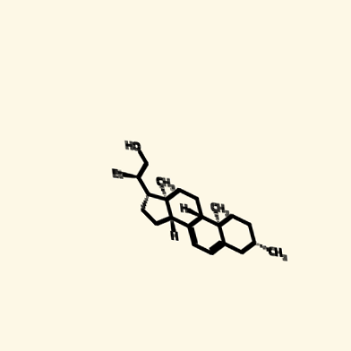 CC[C@@H](CO)[C@H]1CC[C@H]2C3=CC=C4C[C@@H](C)CC[C@]4(C)[C@H]3CC[C@]12C